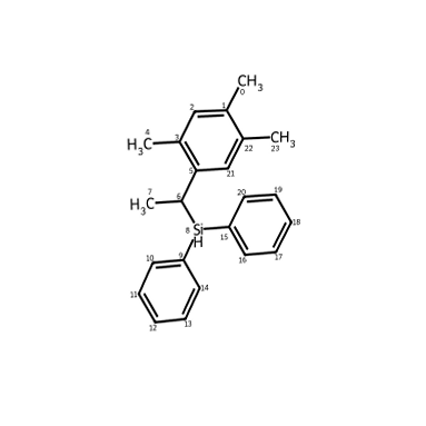 Cc1cc(C)c(C(C)[SiH](c2ccccc2)c2ccccc2)cc1C